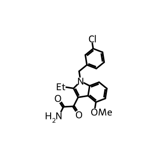 CCc1c(C(=O)C(N)=O)c2c(OC)cccc2n1Cc1cccc(Cl)c1